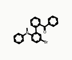 CN(c1ccccc1)c1ccc(Br)cc1-c1ccccc1C(=O)c1ccccc1